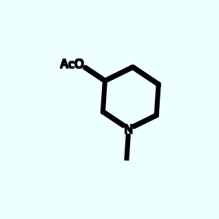 CC(=O)OC1CCCN(C)C1